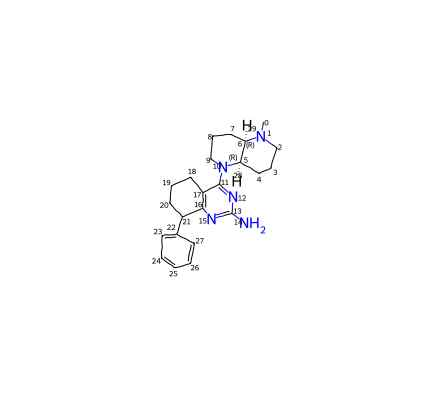 CN1CCC[C@@H]2[C@H]1CCCN2c1nc(N)nc2c1CCCC2c1ccccc1